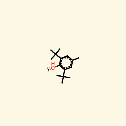 Cc1cc(C(C)(C)C)c(O)c(C(C)(C)C)c1.[Y]